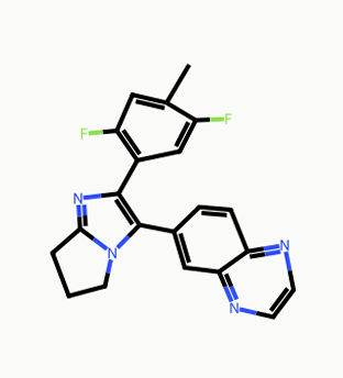 Cc1cc(F)c(-c2nc3n(c2-c2ccc4nccnc4c2)CCC3)cc1F